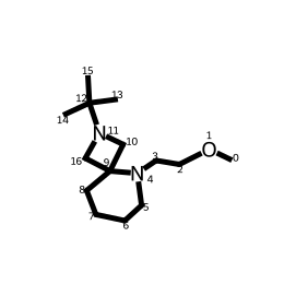 COCCN1CCCCC12CN(C(C)(C)C)C2